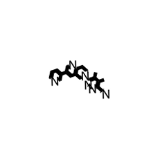 Cc1c(C#N)nnc(N2CCc3ncc(-c4cccnc4)cc3C2)c1C